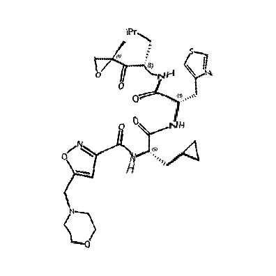 CC(C)C[C@H](NC(=O)[C@H](Cc1cscn1)NC(=O)[C@H](CC1CC1)NC(=O)c1cc(CN2CCOCC2)on1)C(=O)[C@@]1(C)CO1